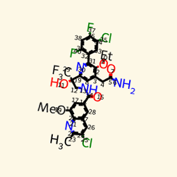 CCOc1c(CC(N)=O)cc([C@@](O)(CNC(=O)c2cc(OC)c3nc(C)c(Cl)cc3c2)C(F)(F)F)nc1-c1cc(Cl)c(F)cc1F